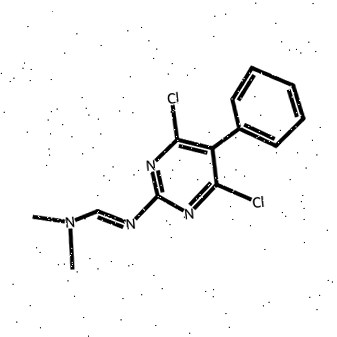 CN(C)C=Nc1nc(Cl)c(-c2ccccc2)c(Cl)n1